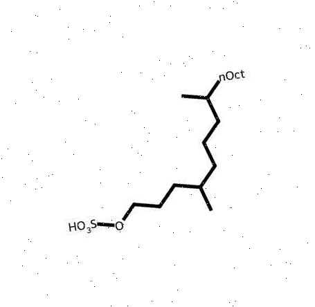 CCCCCCCCC(C)CCCC(C)CCCOS(=O)(=O)O